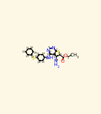 CCOC(=O)c1sc2ncnc(Nc3ccc(Sc4ccccc4)cc3)c2c1N